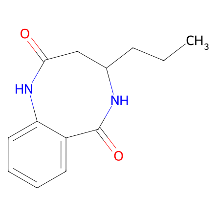 CCCC1CC(=O)Nc2ccccc2C(=O)N1